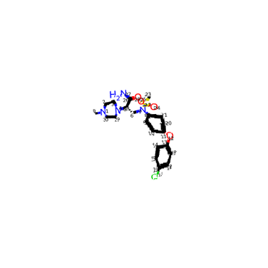 CN1CCN([C@@H](CN(c2ccc(Oc3ccc(Cl)cc3)cc2)S(C)(=O)=O)C(N)=O)CC1